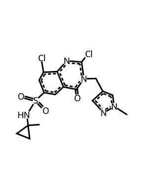 Cn1cc(Cn2c(Cl)nc3c(Cl)cc(S(=O)(=O)NC4(C)CC4)cc3c2=O)cn1